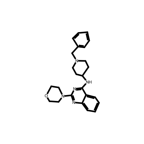 c1ccc(CN2CCC(Nc3nc(N4CCOCC4)nc4ccccc34)CC2)cc1